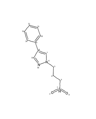 O=[SH](=O)CCCn1cc(-c2ccccc2)cn1